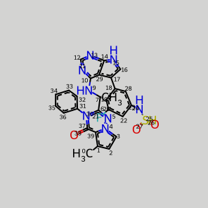 Cc1ccn2nc([C@H](C)Nc3ncnc4[nH]cc(-c5cc(F)cc(N[SH](=O)=O)c5)c34)n(-c3ccccc3)c(=O)c12